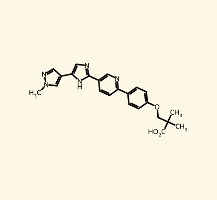 Cn1cc(-c2cnc(-c3ccc(-c4ccc(OCC(C)(C)C(=O)O)cc4)nc3)[nH]2)cn1